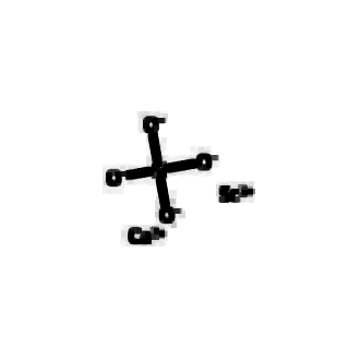 [Ca+2].[O-][Si]([O-])([O-])[O-].[Sc+3]